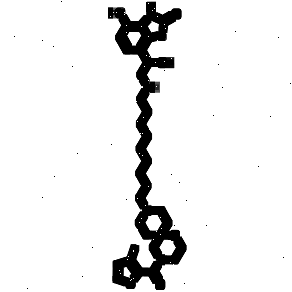 Cc1ccoc1C(=O)N1CCOC2(CCN(CCCCCCCCCNCC(O)c3ccc(O)c4[nH]c(=O)sc34)CC2)C1